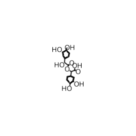 O=C(OC(C(=O)O)c1ccc(O)c(O)c1)C(O)c1ccc(O)c(O)c1